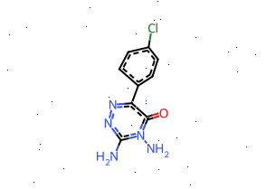 Nc1nnc(-c2ccc(Cl)cc2)c(=O)n1N